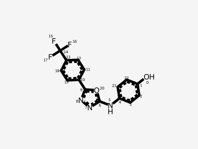 Oc1ccc(Nc2nnc(-c3ccc(C(F)(F)F)cc3)o2)cc1